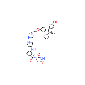 CCC(=C(c1ccc(O)cc1)c1ccc(OCCN2CCN(CN3CCC(Nc4cccc5c4CN(C4CCC(=O)NC4=O)C5=O)CC3)CC2)cc1)c1ccccc1